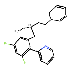 CC[C@H](CCC1C=CC=CC1)Cc1cc(F)cc(F)c1-c1ccccn1